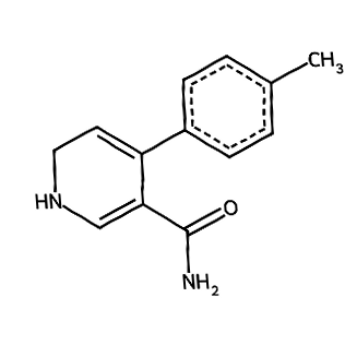 Cc1ccc(C2=CCNC=C2C(N)=O)cc1